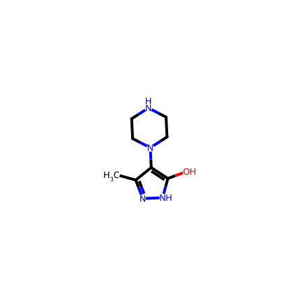 Cc1n[nH]c(O)c1N1CCNCC1